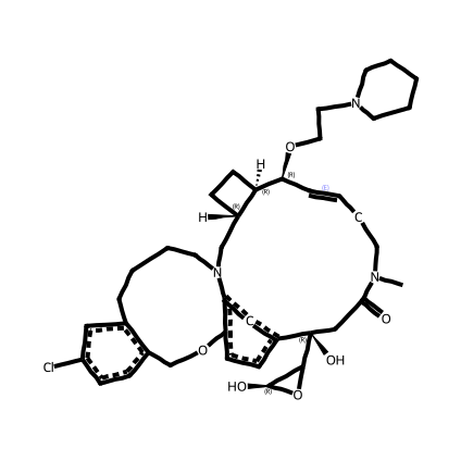 CN1CC/C=C/[C@H](OCCN2CCCCC2)[C@@H]2CC[C@H]2CN2CCCCc3cc(Cl)ccc3COc3ccc(cc32)[C@@](O)(C2O[C@H]2O)CC1=O